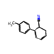 Cc1ccc(C2=CC=CCC2C#N)cc1